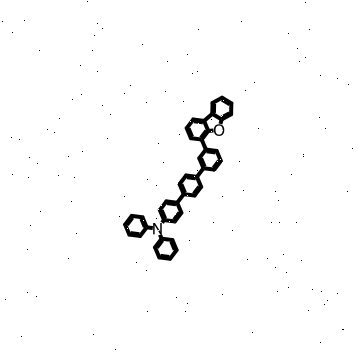 c1ccc(N(c2ccccc2)c2ccc(-c3ccc(-c4cccc(-c5cccc6c5oc5ccccc56)c4)cc3)cc2)cc1